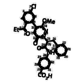 CCC(=O)c1ccc(Cl)cc1-c1cc(=O)n([C@@H](Cc2ccccc2)C(=O)Nc2ccc(C(=O)O)cc2)nc1OC